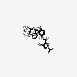 CC1(C)C(N)=N[C@](C)(c2cc(NC(=O)c3nn(C(F)F)cc3Cl)ccc2F)[C@@H]2CCN=[S@@]21=O